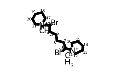 C[N+]1(C(Br)CCCCC(Br)[N+]2(C)CCCCC2)CCCCC1